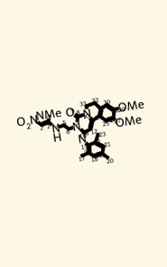 CN/C(=C\[N+](=O)[O-])NCCn1c(=O)n2c(c/c1=N\c1c(C)cc(C)cc1C)-c1cc(OC)c(OC)cc1CC2